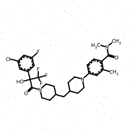 Cc1cc(N2CCC(CC3CCN(C(=O)C(O)(c4cc(F)cc(Cl)c4)C(F)(F)F)CC3)CC2)ccc1C(=O)N(C)C